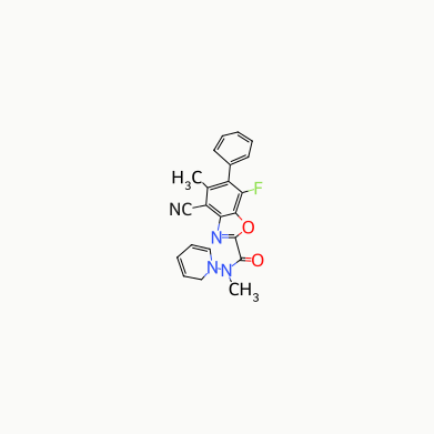 Cc1c(-c2ccccc2)c(F)c2oc(C(=O)N(C)N3C=CC=CC3)nc2c1C#N